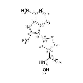 Nc1ncnc2c1nc(C(F)(F)F)n2[C@@H]1CC[C@@H](C(=O)NO)C1